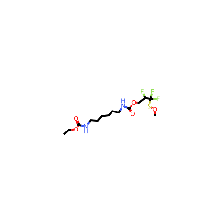 CCOC(=O)NCCCCCCNC(=O)OCC(F)C(F)(F)SOC